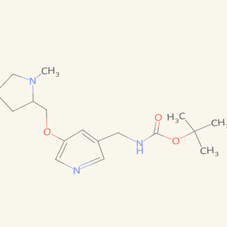 CN1CCCC1COc1cncc(CNC(=O)OC(C)(C)C)c1